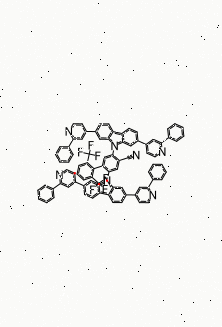 N#Cc1cc(-n2c3cc(-c4ccnc(-c5ccccc5)c4)ccc3c3ccc(-c4ccnc(-c5ccccc5)c4)cc32)c(-c2c(C(F)(F)F)cccc2C(F)(F)F)cc1-n1c2cc(-c3ccnc(-c4ccccc4)c3)ccc2c2ccc(-c3ccnc(-c4ccccc4)c3)cc21